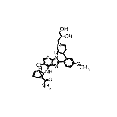 COc1ccc(-c2nc3c(N[C@H]4C(C(N)=O)C5C=C[C@H]4C5)c(Cl)cnc3[nH]2)c(C2CCN(C[C@H](O)CO)CC2)c1